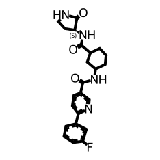 O=C(NC1CCCC(C(=O)N[C@H]2CCNC2=O)C1)c1ccc(-c2cccc(F)c2)nc1